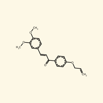 C=CCOc1ccc(C(=O)/C=C/c2ccc(OC)c(OC)c2)cc1